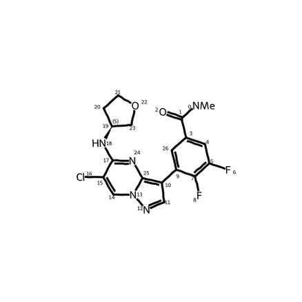 CNC(=O)c1cc(F)c(F)c(-c2cnn3cc(Cl)c(N[C@H]4CCOC4)nc23)c1